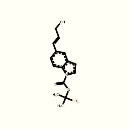 CC(C)(C)OC(=O)n1ccc2cc(C=CCO)ccc21